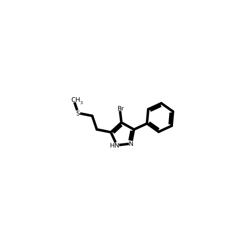 CSCCc1[nH]nc(-c2ccccc2)c1Br